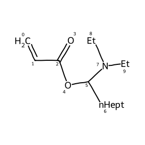 C=CC(=O)OC(CCCCCCC)N(CC)CC